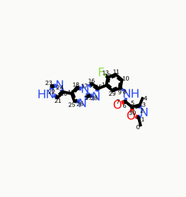 Cc1nc(C)c(C(=O)Nc2ccc(F)c(-c3cn4cc(-c5c[nH]cn5)cnc4n3)c2)o1